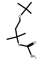 BC(=O)SC(C)(C)CCOC(C)(C)C